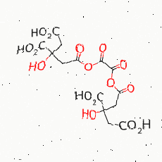 O=C(O)CC(O)(CC(=O)OC(=O)C(=O)OC(=O)CC(O)(CC(=O)O)C(=O)O)C(=O)O